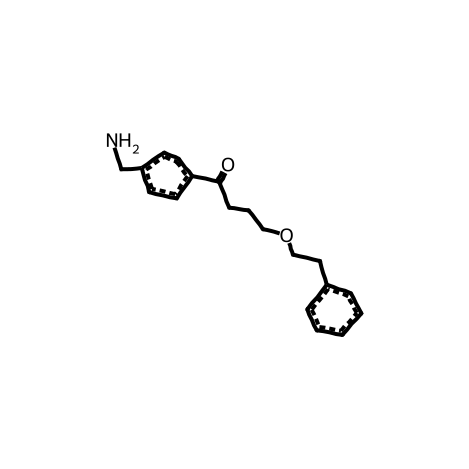 NCc1ccc(C(=O)CCCOCCc2ccccc2)cc1